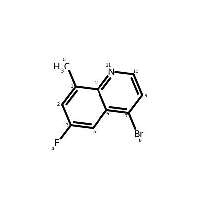 Cc1cc(F)cc2c(Br)ccnc12